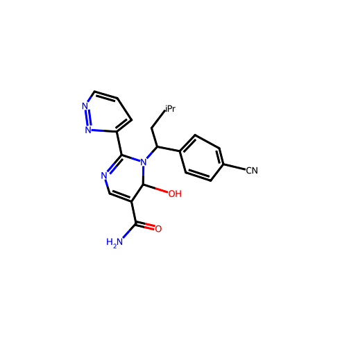 CC(C)CC(c1ccc(C#N)cc1)N1C(c2cccnn2)=NC=C(C(N)=O)C1O